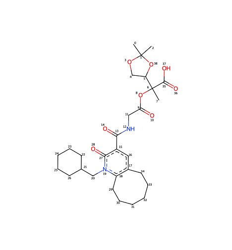 CC1(C)OCC(C(C)(OC(=O)CNC(=O)c2cc3c(n(CC4CCCCC4)c2=O)CCCCCC3)C(=O)O)O1